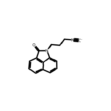 [C-]#[N+]CCCN1C(=O)c2cccc3cccc1c23